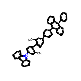 N#Cc1cc(-c2ccc(-c3c4ccccc4c(-c4ccccc4)c4ccccc34)cc2)ccc1-c1ccc(-n2c3ccccc3c3ccccc32)cc1C#N